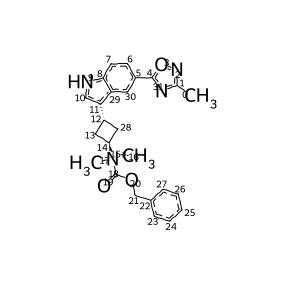 Cc1noc(-c2ccc3[nH]cc([C@H]4C[C@H]([N+](C)(C)C(=O)OCc5ccccc5)C4)c3c2)n1